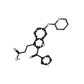 O=C(O)CCc1c(C(=O)c2ccsc2)oc2cc(OC3CCCCO3)ccc12